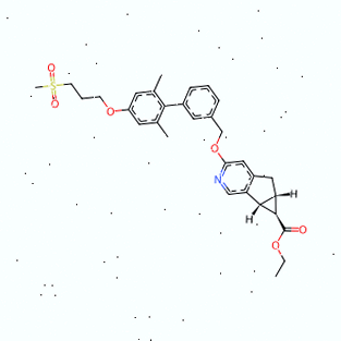 CCOC(=O)[C@@H]1[C@H]2Cc3cc(OCc4cccc(-c5c(C)cc(OCCCS(C)(=O)=O)cc5C)c4)ncc3[C@H]21